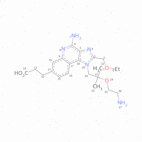 CCOCc1nc2c(N)nc3cc(CCC(=O)O)ccc3c2n1CC(C)(C)OCCN